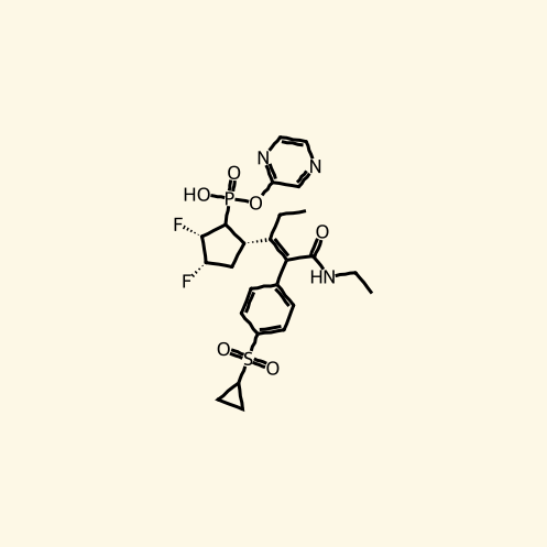 CCNC(=O)/C(=C(\CC)[C@@H]1C[C@H](F)[C@H](F)C1P(=O)(O)Oc1cnccn1)c1ccc(S(=O)(=O)C2CC2)cc1